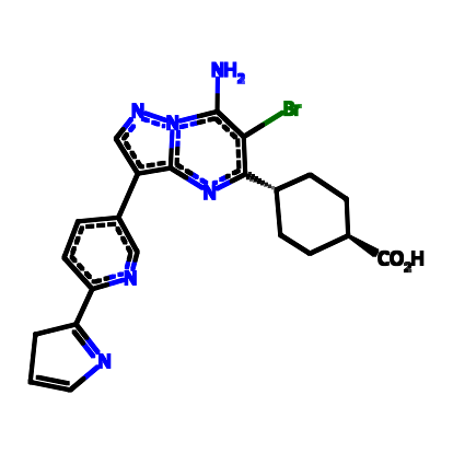 Nc1c(Br)c([C@H]2CC[C@H](C(=O)O)CC2)nc2c(-c3ccc(C4=NC=CC4)nc3)cnn12